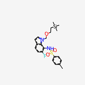 Cc1ccc(S(=O)(=O)Nc2c(F)ccc3ccn(COCC[Si](C)(C)C)c23)cc1